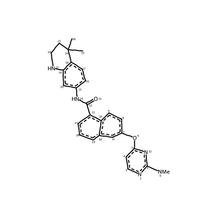 CNc1nccc(Oc2ccc3c(C(=O)Nc4ccc5c(c4)NCCC5(C)C)cccc3c2)n1